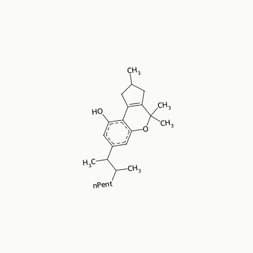 CCCCCC(C)C(C)c1cc(O)c2c(c1)OC(C)(C)C1=C2CC(C)C1